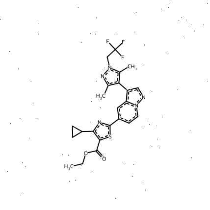 CCOC(=O)c1sc(-c2ccn3ncc(-c4c(C)nn(CC(F)(F)F)c4C)c3c2)nc1C1CC1